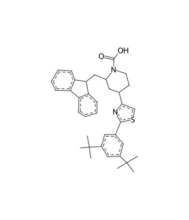 CC(C)(C)c1cc(-c2nc(C3CCN(C(=O)O)C(CC4c5ccccc5-c5ccccc54)C3)cs2)cc(C(C)(C)C)c1